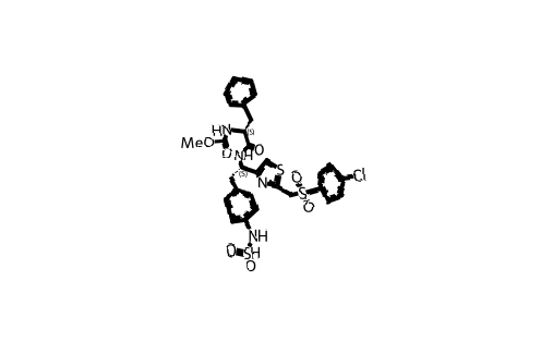 COC(=O)N[C@@H](Cc1ccccc1)C(=O)N[C@@H](Cc1ccc(N[SH](=O)=O)cc1)c1csc(CS(=O)(=O)c2ccc(Cl)cc2)n1